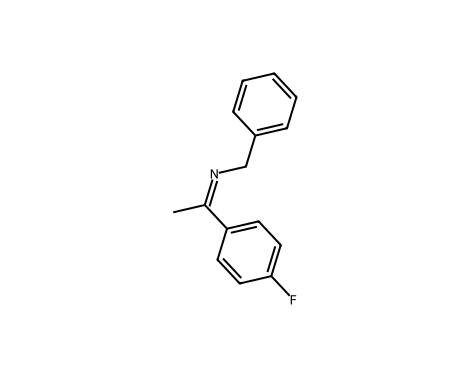 CC(=NCc1ccccc1)c1ccc(F)cc1